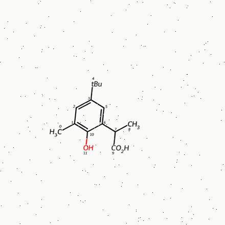 Cc1cc(C(C)(C)C)cc(C(C)C(=O)O)c1O